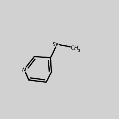 C[Se]c1cccnc1